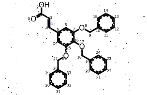 O=C(O)/C=C/c1cc(OCc2ccccc2)c(OCc2ccccc2)c(OCc2ccccc2)c1